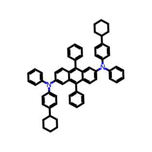 c1ccc(-c2c3ccc(N(c4ccccc4)c4ccc(C5CCCCC5)cc4)cc3c(-c3ccccc3)c3ccc(N(c4ccccc4)c4ccc(C5CCCCC5)cc4)cc23)cc1